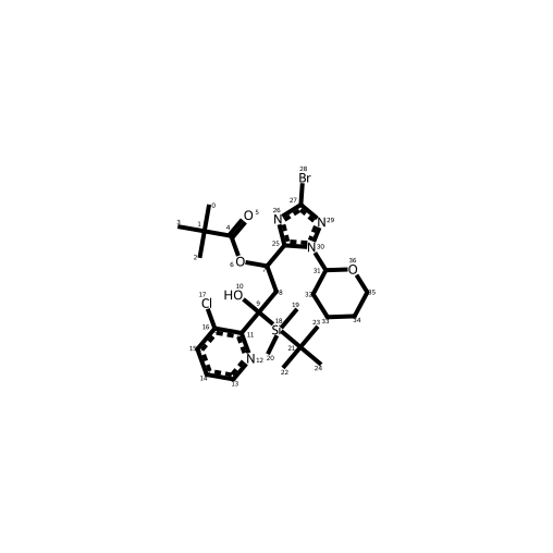 CC(C)(C)C(=O)OC(CC(O)(c1ncccc1Cl)[Si](C)(C)C(C)(C)C)c1nc(Br)nn1C1CCCCO1